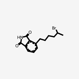 CC(Br)CCCCc1cccc2c1C(=O)NC2=O